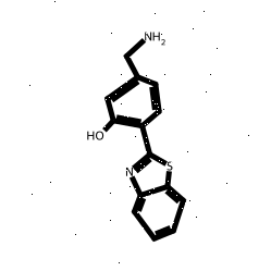 NCc1ccc(-c2nc3ccccc3s2)c(O)c1